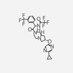 O=C(C(NC(=O)C(F)(F)F)c1cccc(C(F)(F)F)c1)N1CCN2C[C@H](Oc3cnc(C4CC4)cn3)C[C@H]2C1